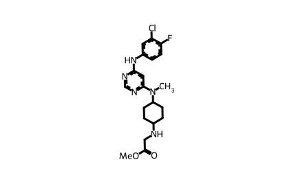 COC(=O)CNC1CCC(N(C)c2cc(Nc3ccc(F)c(Cl)c3)ncn2)CC1